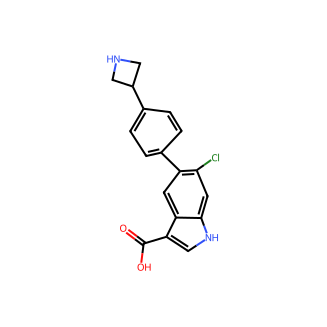 O=C(O)c1c[nH]c2cc(Cl)c(-c3ccc(C4CNC4)cc3)cc12